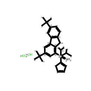 C[CH](C)[Zr](=[SiH2])([C]1=CC=CC1)([c]1cc(C(C)(C)C)cc2c1Cc1ccc(C(C)(C)C)cc1-2)[CH](C)C.Cl.Cl